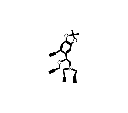 C#CCOC(CN(CC#C)CC#C)c1cc2c(cc1C#C)OC(C)(C)O2